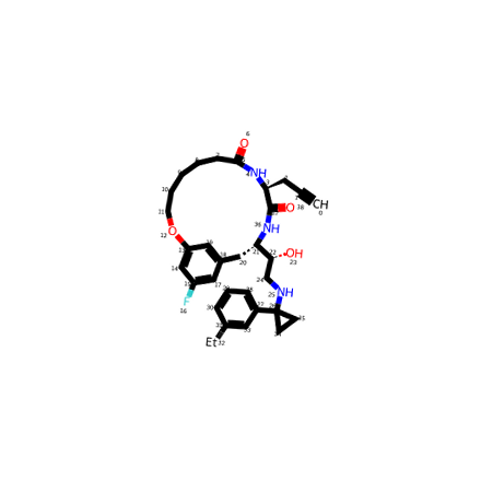 C#CC[C@@H]1NC(=O)CCCCCOc2cc(F)cc(c2)C[C@@H]([C@H](O)CNC2(c3cccc(CC)c3)CC2)NC1=O